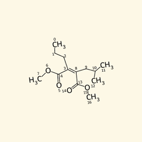 CCC/C(C(=O)OC)=C(\CC(C)C)C(=O)OC